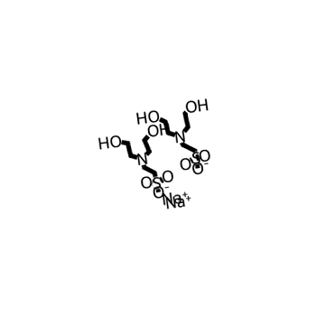 O=S(=O)([O-])CCN(CCO)CCO.O=S(=O)([O-])CCN(CCO)CCO.[Na+].[Na+]